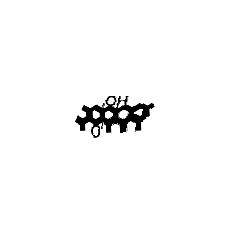 C=C(C)C1=C(C)C[C@@]2(C)[C@H](O)[C@]3(C)C(=C(C)[C@@]2(C)C1=O)C(=C)c1c(C)cc(C)cc1[C@H]3C